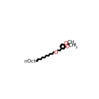 CCCCCCCCC=CCCCCCCCCOCCc1ccc2c(c1)OC(C)(C)O2